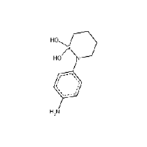 Nc1ccc(N2CCCCS2(O)O)cc1